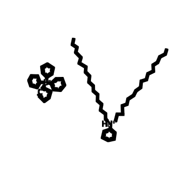 CCCCCCCCCCCCCCCCCC[NH+](CCCCCCCCCCCCCCCCCC)c1ccccc1.c1ccc([B-](c2ccccc2)(c2ccccc2)c2ccccc2)cc1